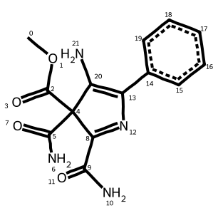 COC(=O)C1(C(N)=O)C(C(N)=O)=NC(c2ccccc2)=C1N